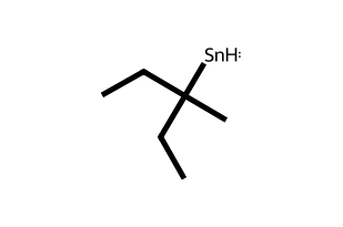 CC[C](C)([SnH])CC